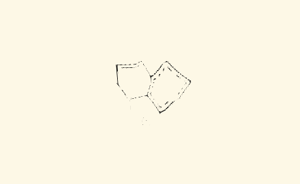 C1=Cc2ccccc2NC1.[Zn]